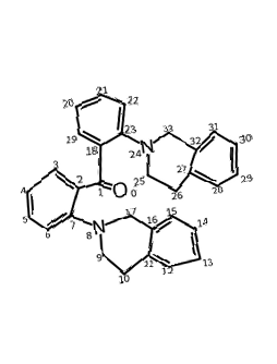 O=C(c1ccccc1N1CCc2ccccc2C1)c1ccccc1N1CCc2ccccc2C1